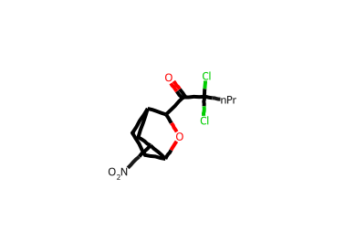 [CH2]CCC(Cl)(Cl)C(=O)[C]1OC2CCC1CC2[N+](=O)[O-]